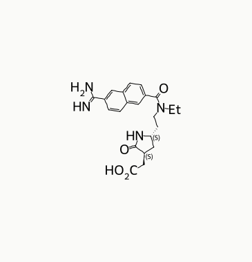 CCN(CC[C@@H]1C[C@@H](CC(=O)O)C(=O)N1)C(=O)c1ccc2cc(C(=N)N)ccc2c1